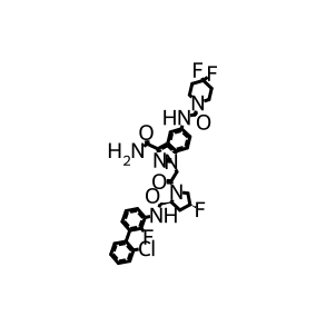 NC(=O)c1nn(CC(=O)N2C[C@H](F)C[C@H]2C(=O)Nc2cccc(-c3ccccc3Cl)c2F)c2ccc(NC(=O)N3CCC(F)(F)CC3)cc12